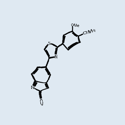 COc1ccc(-c2nc(-c3ccc4c(c3)=CC(=O)N=4)cs2)cc1OC